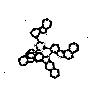 c1ccc2cc(-c3nc(-c4ccc5c(sc6ccc7ccccc7c65)c4-n4c5cc6ccccc6cc5c5cc6ccccc6cc54)nc(-c4cccc5c4sc4ccccc45)n3)ccc2c1